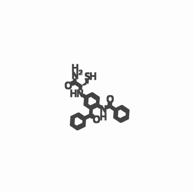 NC(=O)[C@H](CS)Nc1ccc(NC(=O)c2ccccc2)c(C(=O)c2ccccc2)c1